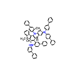 Cc1cc(-c2ccccc2)ccc1N1c2ccc(N(c3ccc(-c4ccccc4)cc3)c3ccc(-c4ccccc4)cc3)cc2Bc2c(-c3cc(-c4ccccc4)ccc3Nc3cccc(-c4ccccc4)c3)cc3c(c21)-c1ccccc1C3(C)C